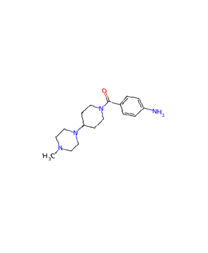 CN1CCN(C2CCN(C(=O)c3ccc(N)cc3)CC2)CC1